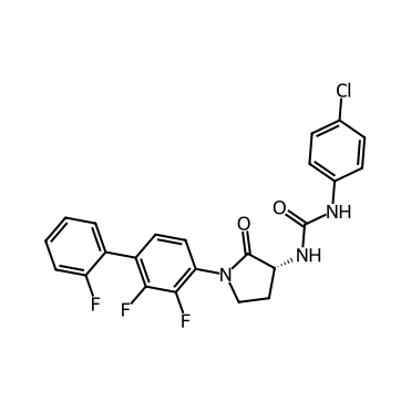 O=C(Nc1ccc(Cl)cc1)N[C@@H]1CCN(c2ccc(-c3ccccc3F)c(F)c2F)C1=O